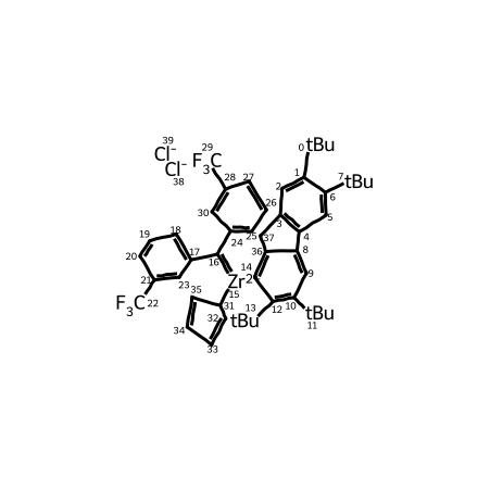 CC(C)(C)c1cc2c(cc1C(C)(C)C)-c1cc(C(C)(C)C)c(C(C)(C)C)[c]([Zr+2](=[C](c3cccc(C(F)(F)F)c3)c3cccc(C(F)(F)F)c3)[CH]3C=CC=C3)c1C2.[Cl-].[Cl-]